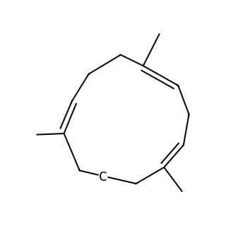 CC1=CCC=C(C)CCCC(C)=CCC1